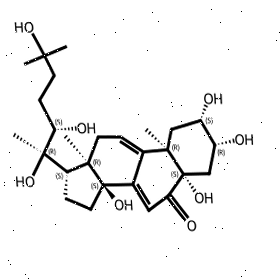 CC(C)(O)CC[C@H](O)[C@](C)(O)[C@H]1CC[C@@]2(O)C3=CC(=O)[C@]4(O)C[C@@H](O)[C@@H](O)C[C@]4(C)C3=CC[C@]12C